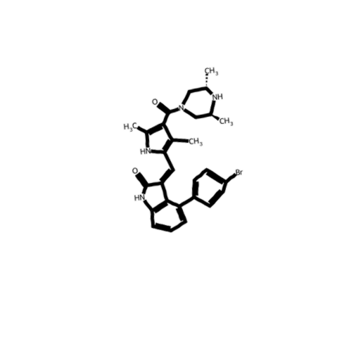 Cc1[nH]c(/C=C2\C(=O)Nc3cccc(-c4ccc(Br)cc4)c32)c(C)c1C(=O)N1C[C@H](C)N[C@@H](C)C1